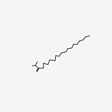 C=C(CCCCCCCCCCCCCCCCC)C(C)C